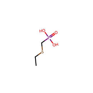 CCSCP(=O)(O)O